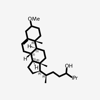 COC1CC[C@@]2(C)C(=CC[C@H]3[C@@H]4CC[C@H]([C@H](C)CCC(O)C(C)C)[C@@]4(C)CC[C@@H]32)C1